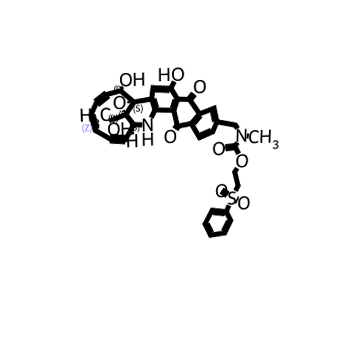 C[C@@H](O)[C@@]12O[C@]13c1cc(O)c4c(c1N[C@H]2C#C/C=C\C#C[C@H]3O)C(=O)c1ccc(CN(C)C(=O)OCCS(=O)(=O)c2ccccc2)cc1C4=O